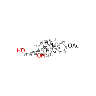 CC(=O)OC1CC[C@@]2(C)C(CC[C@@H]3[C@H]2CC[C@@]2(C)[C@H]3CCC2(O)C#CCO)C1